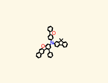 CC1(C)c2ccccc2-c2ccc(N(c3ccc4c(c3)oc3ccccc34)c3cc(-c4ccccc4)c4c(c3)oc3cc5ccccc5cc34)cc21